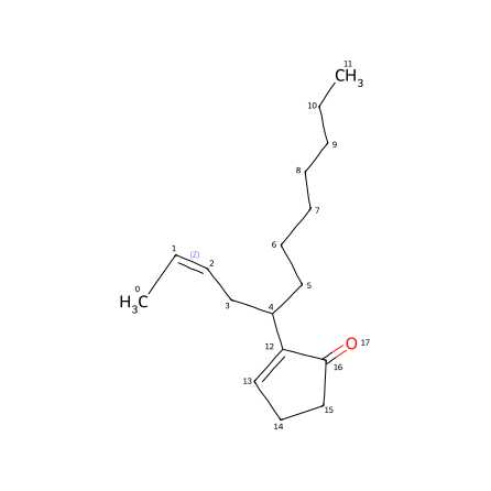 C/C=C\CC(CCCCCCC)C1=CCCC1=O